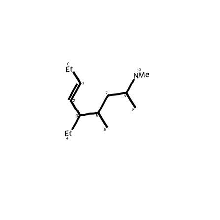 CC/C=C/C(CC)C(C)CC(C)NC